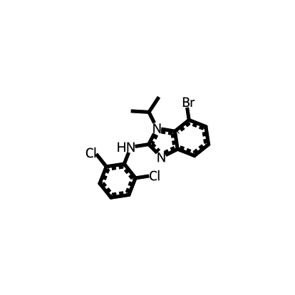 CC(C)n1c(Nc2c(Cl)cccc2Cl)nc2cccc(Br)c21